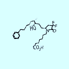 C[C@@H](CCCCCc1ccccc1)[C@H](O)CC[C@H]1CC(F)(F)C(=O)N1CCCCCCC(=O)O